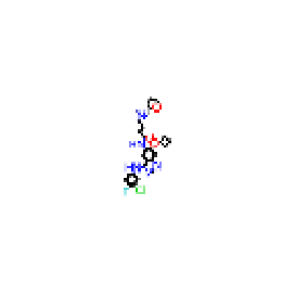 CN(CC=CC(=O)Nc1cc2c(Nc3ccc(F)c(Cl)c3)ncnc2cc1OC1CCC1)C[C@@H]1CCCO1